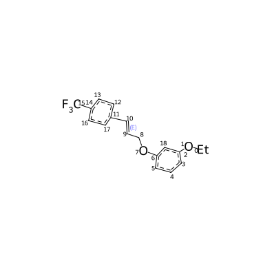 CCOc1cccc(OC/C=C/c2ccc(C(F)(F)F)cc2)c1